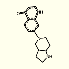 O=c1cc[nH]c2cc(N3CCC4NCCC4C3)ccc12